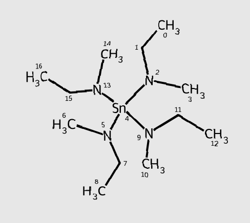 CC[N](C)[Sn]([N](C)CC)([N](C)CC)[N](C)CC